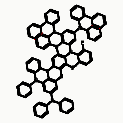 Fc1cccc(F)c1N1c2cc(N(c3ccccc3)c3ccccc3-c3ccccc3)cc3c2B(c2ccccc2N3c2ccccc2-c2ccccc2)c2cc3c(c(F)c21)Sc1cc(N(c2ccccc2)c2ccccc2)cc2c1B3c1ccccc1N2c1ccccc1